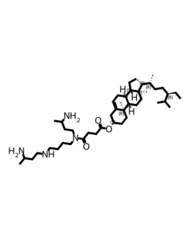 CC[C@H](CC[C@@H](C)[C@H]1CC[C@H]2[C@@H]3CC=C4C[C@@H](OC(=O)CCC(=O)N(CCCCNCCC(C)N)CCC(C)N)CC[C@]4(C)[C@H]3CC[C@]12C)C(C)C